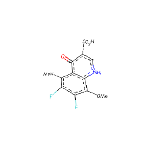 CNc1c(F)c(F)c(OC)c2[nH]cc(C(=O)O)c(=O)c12